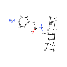 Nc1ccc(CC(=O)NCC23C4C5=C(CC5)C4C2C2C4CCC4C23)cc1